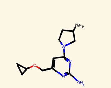 CNC1CCN(c2cc(COC3CC3)nc(N)n2)C1